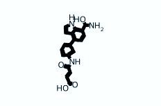 NC(O)c1ccc(-c2cccc(NC(=O)/C=C/C(=O)O)c2)c2cc[nH]c12